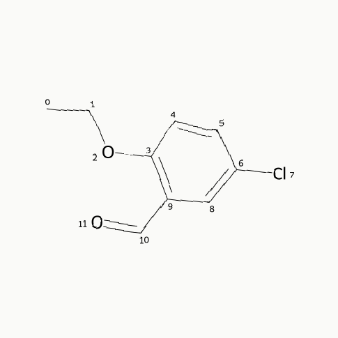 CCOc1ccc(Cl)cc1C=O